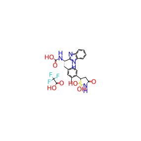 Cc1cc(C[C@H](NC(=O)O)c2nc3ccccc3[nH]2)ccc1C1CC(=O)NS1(O)O.O=C(O)C(F)(F)F